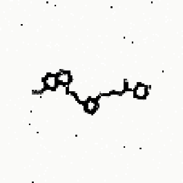 COc1ccc2nccc(CCCc3ccnc(SCCOC(=O)[C@@H]4CCCNC4)c3)c2c1